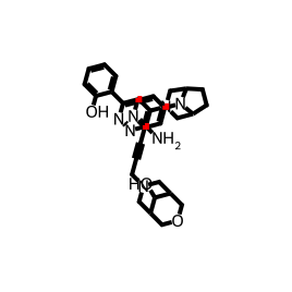 Nc1nnc(-c2ccccc2O)cc1N1CC2CCC(C1)N2c1ccnc(C#CCN2CC3COCC(C2)C3O)c1